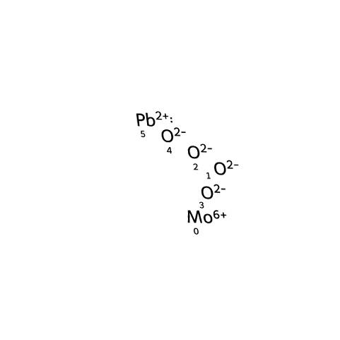 [Mo+6].[O-2].[O-2].[O-2].[O-2].[Pb+2]